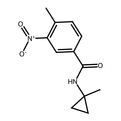 Cc1ccc(C(=O)NC2(C)CC2)cc1[N+](=O)[O-]